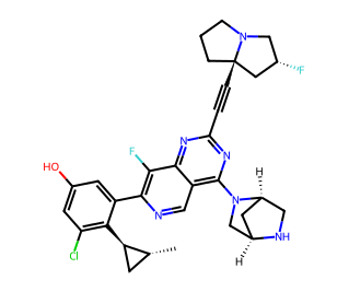 C[C@@H]1C[C@H]1c1c(Cl)cc(O)cc1-c1ncc2c(N3C[C@H]4C[C@@H]3CN4)nc(C#C[C@@]34CCCN3C[C@H](F)C4)nc2c1F